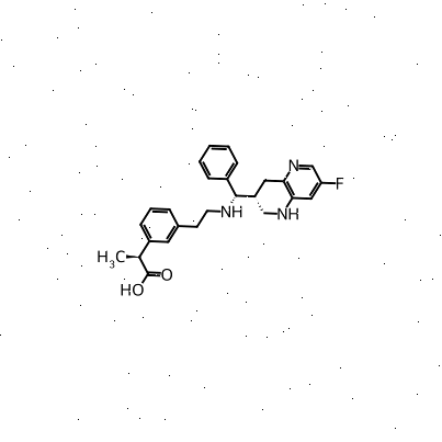 C[C@H](C(=O)O)c1cccc(CCN[C@H](c2ccccc2)[C@H]2CNc3cc(F)cnc3C2)c1